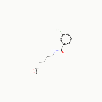 O=C(NCCCC[C@@H]1CO1)c1cccc(Br)c1